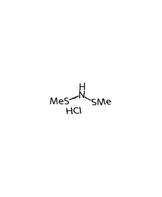 CSNSC.Cl